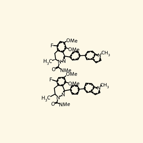 CNC(=O)N1N=C(c2ccc(-c3ccc4c(ccn4C)c3)cc2)c2c(c(F)cc(OC)c2OC)CC1C.CNC(=O)N1N=C(c2ccc(-c3ccc4c(ccn4C)c3)cc2)c2c(c(F)cc(OC)c2OC)C[C@@H]1C